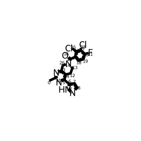 Cc1nc2c(c(-c3ccn[nH]3)n1)CCN(C(=O)c1ccc(F)c(Cl)c1Cl)C2